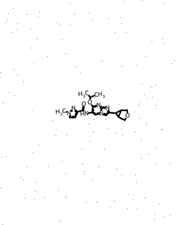 CC(C)Oc1nc2nc(C3C4COCC43)cn2cc1NC(=O)c1ccn(C)n1